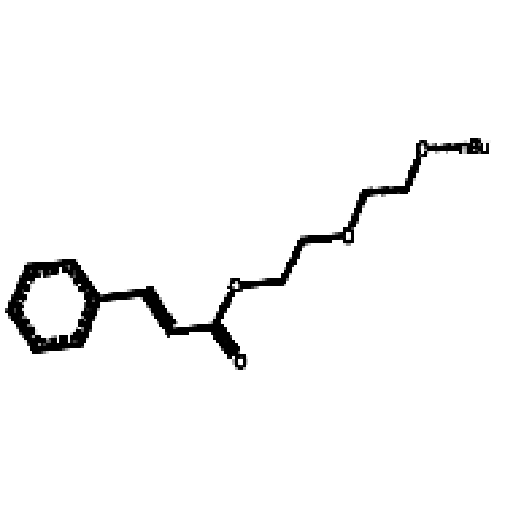 CCCCOCCOCCOC(=O)C=Cc1ccccc1